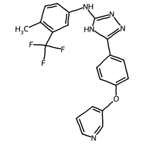 Cc1ccc(Nc2nnc(-c3ccc(Oc4cccnc4)cc3)[nH]2)cc1C(F)(F)F